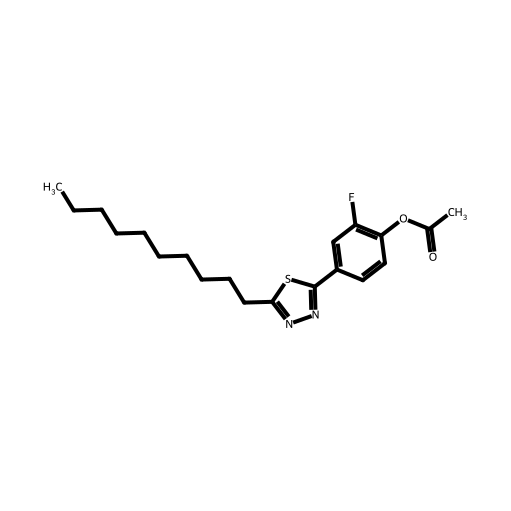 CCCCCCCCCCc1nnc(-c2ccc(OC(C)=O)c(F)c2)s1